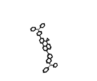 c1ccc(N(c2ccccc2)c2ccc(-c3ccc4c(c3)C3(CC3)c3cccc5c(-c6ccc7cc(N(c8ccccc8)c8ccccc8)ccc7c6)ccc-4c35)cc2)cc1